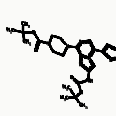 CC(C)(C)OC(=O)Nc1cn2c(-c3cccs3)cnc(N3CCN(C(=O)OC(C)(C)C)CC3)c2n1